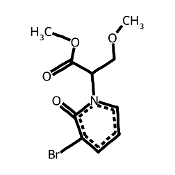 COCC(C(=O)OC)n1cccc(Br)c1=O